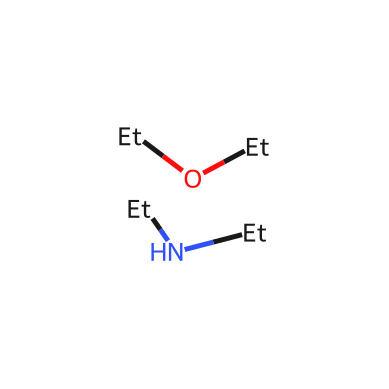 CCNCC.CCOCC